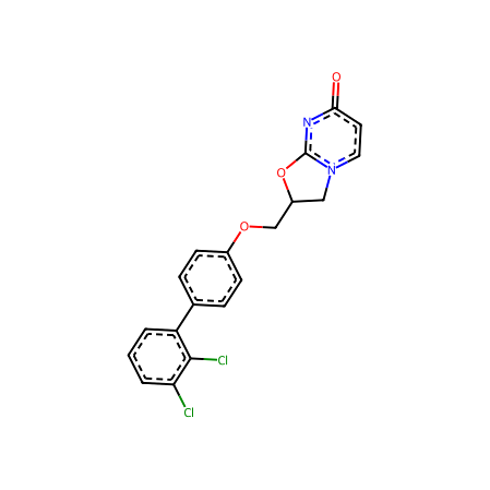 O=c1ccn2c(n1)OC(COc1ccc(-c3cccc(Cl)c3Cl)cc1)C2